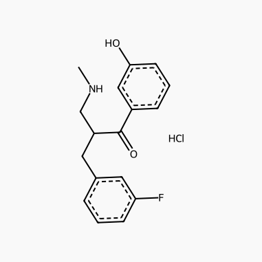 CNCC(Cc1cccc(F)c1)C(=O)c1cccc(O)c1.Cl